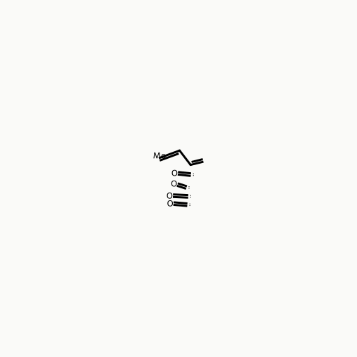 C=CC=C.[C]=O.[C]=O.[C]=O.[C]=O.[Mo]